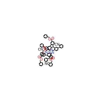 [C-]#[N+]c1cccc(-c2cccc(-c3nc(-c4ccc(-c5ccccc5[N+]#[C-])cc4C4c5ccc(C(=O)OCc6ccccc6)cc5-c5cc(C(=O)OCc6ccccc6)ccc54)nc(-c4ccc(-c5ccccc5C#N)cc4-n4c5ccc(C(=O)OCc6ccccc6)cc5c5cc(C(=O)OCc6ccccc6)ccc54)n3)c2)c1